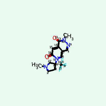 CN1CC[C@@](n2cc3cnn(C)c(=O)c3cc2=O)(C(F)(F)F)C1